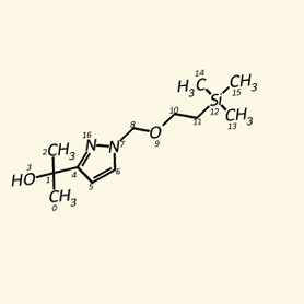 CC(C)(O)c1ccn(COCC[Si](C)(C)C)n1